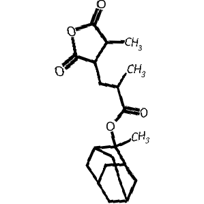 CC(CC1C(=O)OC(=O)C1C)C(=O)OC1(C)C2CC3CC(C2)CC1C3